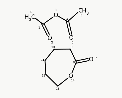 CC(=O)OC(C)=O.O=C1CCCCCO1